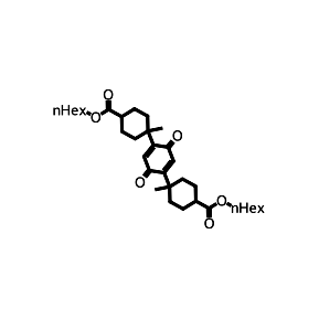 CCCCCCOC(=O)C1CCC(C)(C2=CC(=O)C(C3(C)CCC(C(=O)OCCCCCC)CC3)=CC2=O)CC1